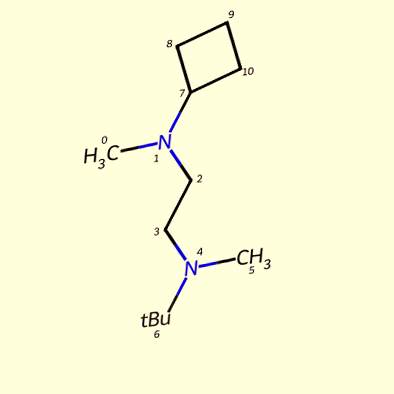 CN(CCN(C)C(C)(C)C)C1CCC1